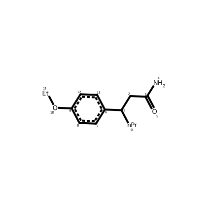 CCCC(CC(N)=O)c1ccc(OCC)cc1